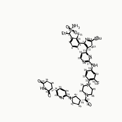 CCC(c1cccc(-c2nc(C(C)(C)C)sc2-c2ccnc(Nc3ccc(N4CCN(C(=O)[C@@H]5CCN(c6ccc([C@H]7CCC(=O)NC7=O)cn6)C5)CC4)c(F)c3)n2)c1F)S(N)(=O)=O